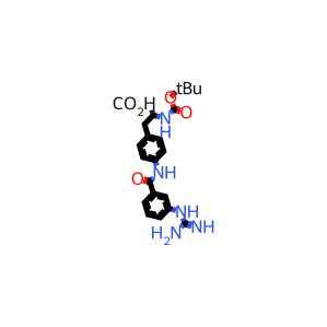 CC(C)(C)OC(=O)NC(Cc1ccc(NC(=O)c2cccc(NC(=N)N)c2)cc1)C(=O)O